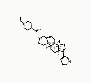 CCN1CCC(C(=O)O[C@H]2CC[C@@]3(C)C(=CC[C@@H]4[C@@H]3CC[C@]3(C)C(c5cccnc5)=CC[C@@H]43)C2)CC1